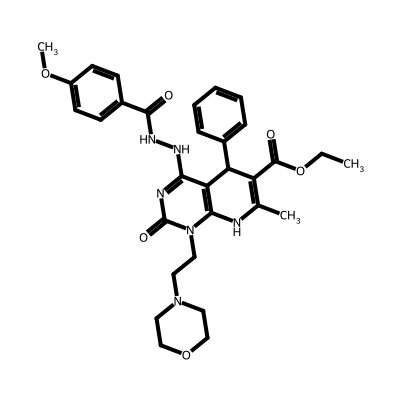 CCOC(=O)C1=C(C)Nc2c(c(NNC(=O)c3ccc(OC)cc3)nc(=O)n2CCN2CCOCC2)C1c1ccccc1